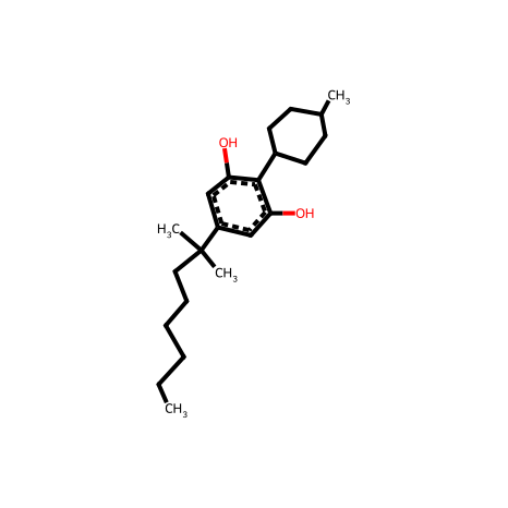 CCCCCCC(C)(C)c1cc(O)c(C2CCC(C)CC2)c(O)c1